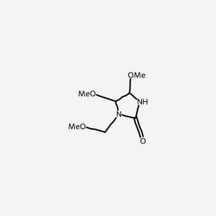 COCN1C(=O)NC(OC)C1OC